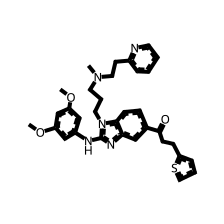 COc1cc(Nc2nc3cc(C(=O)CCc4cccs4)ccc3n2CCCN(C)CCc2ccccn2)cc(OC)c1